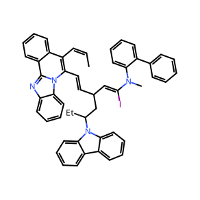 C/C=C\c1c(/C=C/C(/C=C(\I)N(C)c2ccccc2-c2ccccc2)CC(CC)n2c3ccccc3c3ccccc32)n2c3ccccc3nc2c2ccccc12